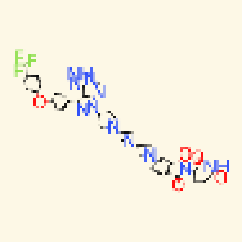 N=Nc1ncnc2c1c(-c1ccc(Oc3ccc(C(F)(F)F)cc3)cc1)nn2C1CCN(C2CN(C3CN(c4ccc5c(c4)C(=O)N(C4CCC(=O)NC4=O)C5=O)C3)C2)CC1